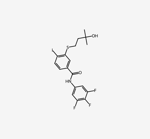 CC(C)(O)CCSc1cc(C(=O)Nc2cc(F)c(F)c(F)c2)ccc1I